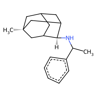 CC(N[C@H]1C2CC3CC1C[C@](C)(C3)C2)c1ccccc1